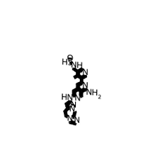 Cc1c(CN[SH]=O)cncc1-c1cc2cc(Nc3cc4n(n3)Cc3nccn3CC4)ncc2c(N)n1